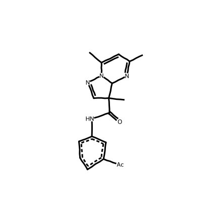 CC(=O)c1cccc(NC(=O)C2(C)C=NN3C(C)=CC(C)=NC32)c1